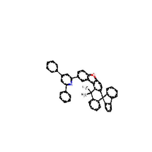 CC1(C)c2ccccc2C2(c3ccccc3-c3ccccc32)c2ccc3oc4ccc(-c5cc(-c6ccccc6)cc(-c6ccccc6)n5)cc4c3c21